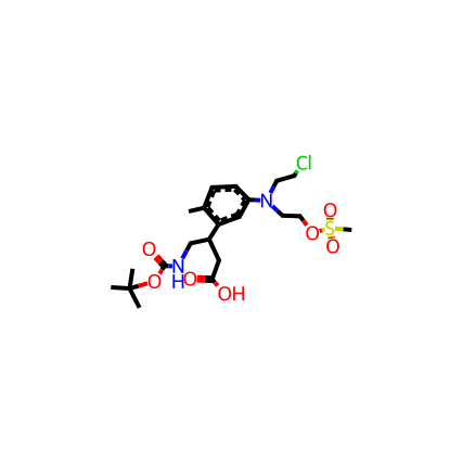 Cc1ccc(N(CCCl)CCOS(C)(=O)=O)cc1C(CNC(=O)OC(C)(C)C)CC(=O)O